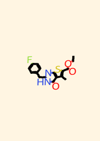 CCOC(=O)c1sc2nc(Cc3ccc(F)cc3)[nH]c(=O)c2c1C